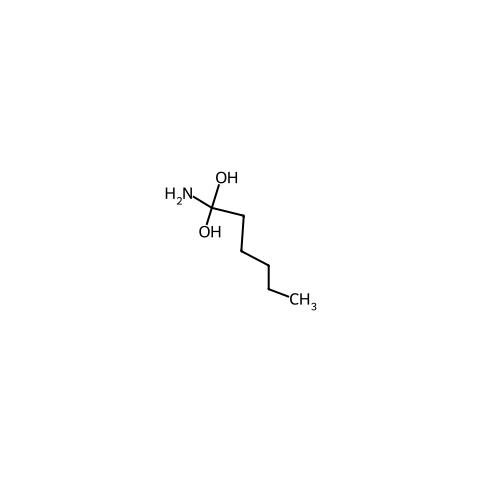 CCCCCC(N)(O)O